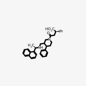 CC(C)[C@@H](CC(=O)N1CCC(c2ccccc2)C(CN[C@H](C)c2cccc3ccccc23)C1)C(=O)O